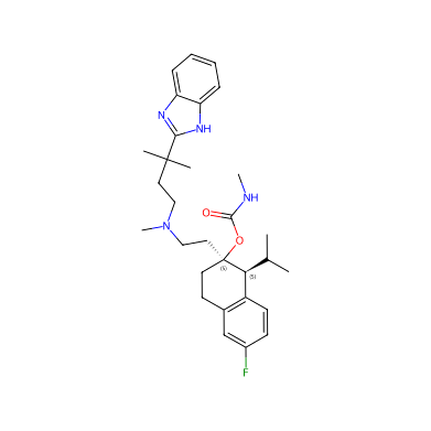 CNC(=O)O[C@]1(CCN(C)CCC(C)(C)c2nc3ccccc3[nH]2)CCc2cc(F)ccc2[C@@H]1C(C)C